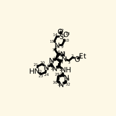 CCOCCn1nc(CN2CCS(=O)(=O)CC2)c2nc(N3CCNCC3)nc(Nc3ccncn3)c21